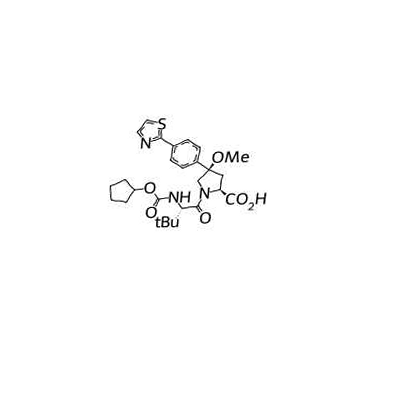 CO[C@@]1(c2ccc(-c3nccs3)cc2)C[C@@H](C(=O)O)N(C(=O)[C@@H](NC(=O)OC2CCCC2)C(C)(C)C)C1